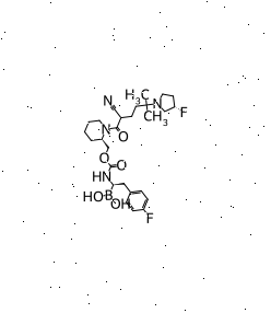 CC(C)(CCC(C#N)C(=O)N1CCCC[C@@H]1COC(=O)N[C@@H](Cc1ccc(F)cc1)B(O)O)N1CC[C@H](F)C1